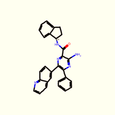 Nc1nc(-c2ccccc2)c(-c2ccc3ncccc3c2)nc1C(=O)N[C@@H]1CCc2ccccc21